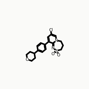 O=S1(=O)CCCN2C=C(Cl)C=C(c3ccc(C4CCOCC4)cc3)C2=N1